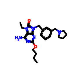 CCCCOc1nc(N)c2c(n1)n(Cc1cccc(CN3CCCC3)c1)c(=O)n2CC